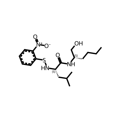 CCCC[C@@H](CO)NC(=O)[C@H](CC(C)C)NSc1ccccc1[N+](=O)[O-]